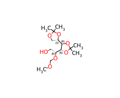 COCO[C@H](CO)[C@H]1OC(C)(C)O[C@@H]1[C@@H]1COC(C)(C)O1